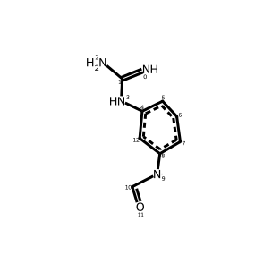 N=C(N)Nc1cccc([N]C=O)c1